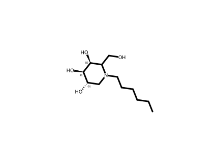 CCCCCCN1C[C@H](O)[C@@H](O)[C@@H](O)C1CO